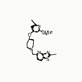 COc1cc(OC2CCN(Cc3ccc4sc(C)nc4n3)CC2)cc(C)n1